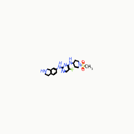 CS(=O)(=O)N1CCC(Nc2nc(Nc3ccc4c(c3)CNCC4)ncc2F)CC1